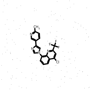 Cc1ccc(-c2cn(-c3cccc4c(Cl)cc(C(F)(F)F)nc34)cn2)cn1